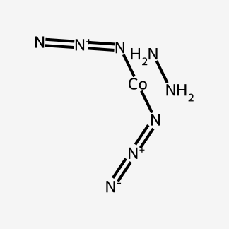 NN.[N-]=[N+]=[N][Co][N]=[N+]=[N-]